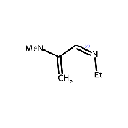 C=C(/C=N\CC)NC